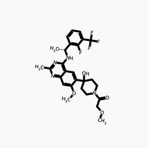 COCC(=O)N1CCC(O)(c2cc3c(N[C@H](C)c4cccc(C(F)(F)F)c4F)nc(C)nc3cc2OC)CC1